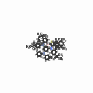 CC(C)(C)c1ccc(N2c3cc(N(c4ccccc4)c4ccccc4)cc4c3B(c3ccc5c(c32)C(C)(C)CCC5(C)C)c2sc3cc5c(cc3c2N4c2ccc(C(C)(C)C)cc2-c2ccccc2)C(C)(C)CCC5(C)C)cc1